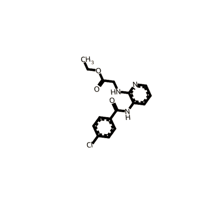 CCOC(=O)CNc1ncccc1NC(=O)c1ccc(Cl)cc1